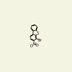 O=[N+]([O-])c1ccc2c(sc3ccccc32)c1Br